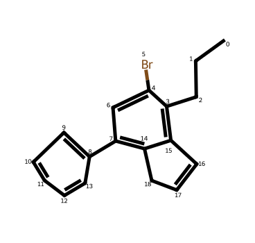 CCCc1c(Br)cc(-c2ccccc2)c2c1C=CC2